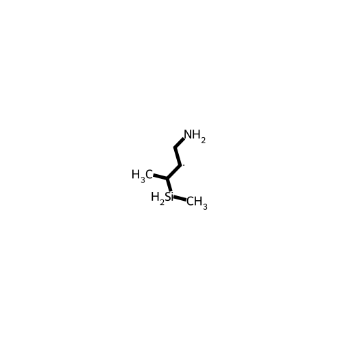 C[SiH2]C(C)[CH]CN